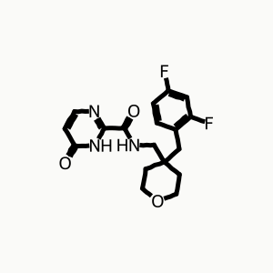 O=C(NCC1(Cc2ccc(F)cc2F)CCOCC1)c1nccc(=O)[nH]1